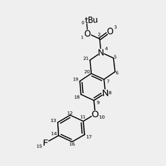 CC(C)(C)OC(=O)N1CCc2nc(Oc3ccc(F)cc3)ccc2C1